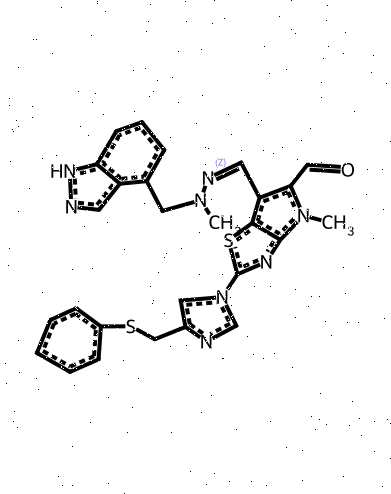 CN(Cc1cccc2[nH]ncc12)/N=C\c1c(C=O)n(C)c2nc(-n3cnc(CSc4ccccc4)c3)sc12